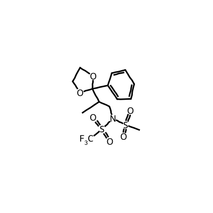 CC(CN(S(C)(=O)=O)S(=O)(=O)C(F)(F)F)C1(c2ccccc2)OCCO1